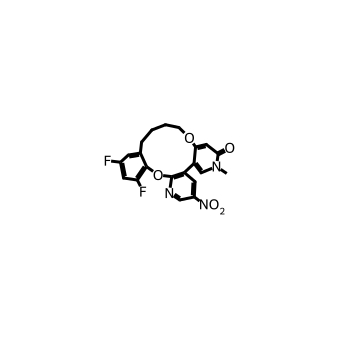 Cn1cc2c(cc1=O)OCCCCc1cc(F)cc(F)c1Oc1ncc([N+](=O)[O-])cc1-2